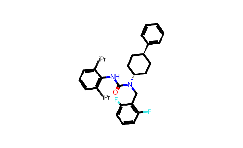 CC(C)c1cccc(C(C)C)c1NC(=O)N(Cc1c(F)cccc1F)[C@H]1CC[C@H](c2ccccc2)CC1